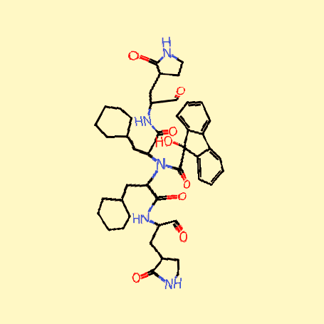 O=CC(CC1CCNC1=O)NC(=O)C(CC1CCCCC1)N(C(=O)C1(O)c2ccccc2-c2ccccc21)C(CC1CCCCC1)C(=O)NC(C=O)CC1CCNC1=O